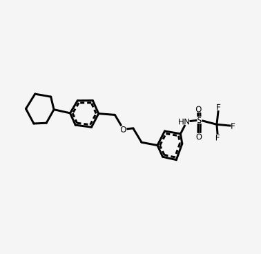 O=S(=O)(Nc1cccc(CCOCc2ccc(C3CCCCC3)cc2)c1)C(F)(F)F